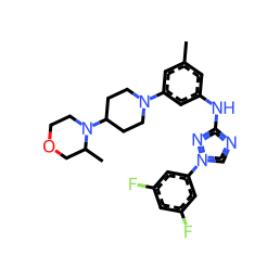 Cc1cc(Nc2ncn(-c3cc(F)cc(F)c3)n2)cc(N2CCC(N3CCOCC3C)CC2)c1